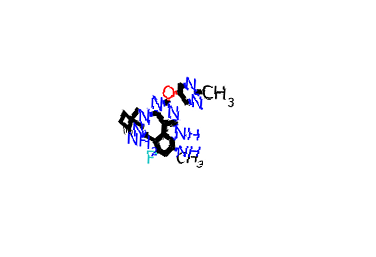 CNc1cc(F)c(C#N)c2c1[nH]c1nc(Oc3cnc(C)nc3)nc(N3CC4(CC[C@H]4N)C3)c12